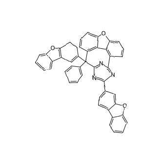 C1=C(C2(c3ccccc3)c3nc(-c4ccc5c(c4)oc4ccccc45)nc(n3)-c3cccc4oc5cccc2c5c34)CCc2oc3ccccc3c21